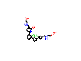 COc1nc(-c2cccc(-c3cccc(-c4ccc(CNCCO)cc4Cl)c3Cl)c2Cl)ccc1CNCCO